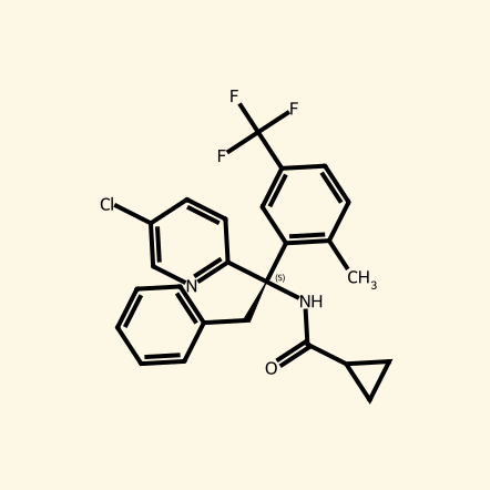 Cc1ccc(C(F)(F)F)cc1[C@](Cc1ccccc1)(NC(=O)C1CC1)c1ccc(Cl)cn1